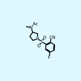 CC(=O)N(C)C1CCN(S(=O)(=O)c2cc(F)ccc2C#N)C1